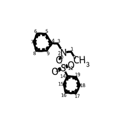 CCN(Cc1ccccc1)OS(=O)(=O)c1ccccc1